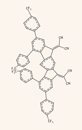 N#CC(C#N)=C1c2cc3c(cc2-c2c1cc(-c1ccc(C(F)(F)F)cc1)cc2-c1ccc(C(F)(F)F)cc1)-c1c(cc(-c2ccc(C(F)(F)F)cc2)cc1-c1ccc(C(F)(F)F)cc1)C3=C(C#N)C#N